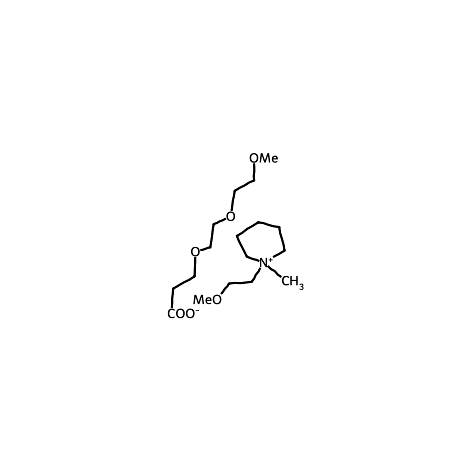 COCCOCCOCCC(=O)[O-].COCC[N+]1(C)CCCCC1